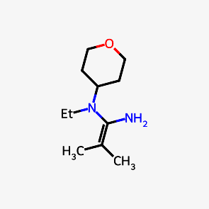 CCN(C(N)=C(C)C)C1CCOCC1